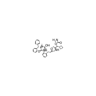 CN(C(=O)O)[C@H](C(=O)Nc1ccccc1CC[C@@H]1CN[C@H](C(OC(N)=O)C2CCC2)CO1)C(c1ccccc1)c1ccccc1